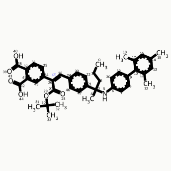 CCCC(C)(Nc1ccc(-c2c(C)cc(C)cc2C)cc1)c1ccc(/C=C(\C(=O)OC(C)(C)C)c2ccc(C(=O)O)c(C(=O)O)c2)cc1